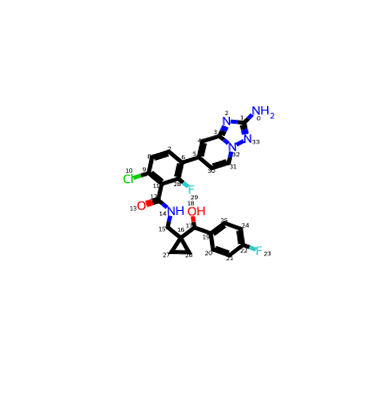 Nc1nc2cc(-c3ccc(Cl)c(C(=O)NCC4(C(O)c5ccc(F)cc5)CC4)c3F)ccn2n1